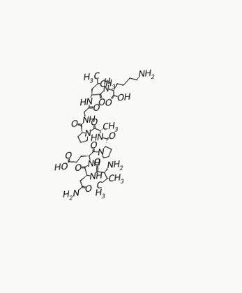 CC(C)C[C@H](NC(=O)CNC(=O)[C@@H]1CCCN1C(=O)[C@H](C)NC(=O)[C@@H]1CCCN1C(=O)[C@H](CCC(=O)O)NC(=O)[C@H](CC(N)=O)NC(=O)[C@@H](N)C(C)C)C(=O)N[C@@H](CCCCN)C(=O)O